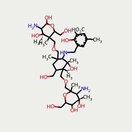 Cc1cc(CNC2C(C)(COCC3(C)C(CO)OC(O)C(N)[C@]3(C)O)CC(CO)C(C)(COCC3(C)OC(CO)C(O)[C@@](C)(O)C3N)[C@@]2(C)O)c(O)c(C(=O)O)c1